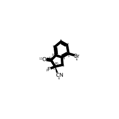 N#C[C@]1(F)Cc2c(Br)cccc2C1=O